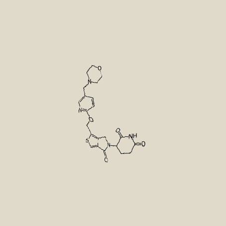 O=C1CCC(N2Cc3c(csc3COc3ccc(CN4CCOCC4)cn3)C2=O)C(=O)N1